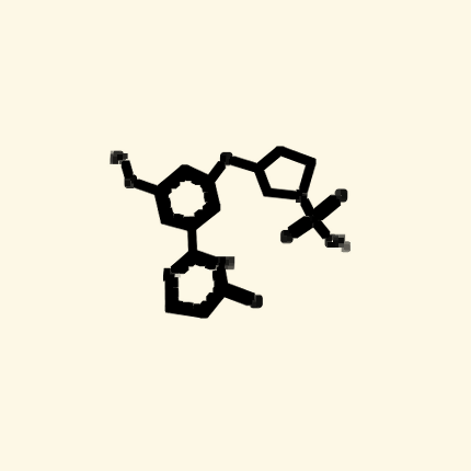 CC(C)Oc1cc(OC2CCN(S(C)(=O)=O)C2)cc(-c2nccc(=O)[nH]2)c1